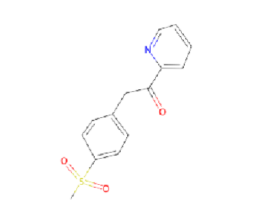 CS(=O)(=O)c1ccc(CC(=O)c2ccccn2)cc1